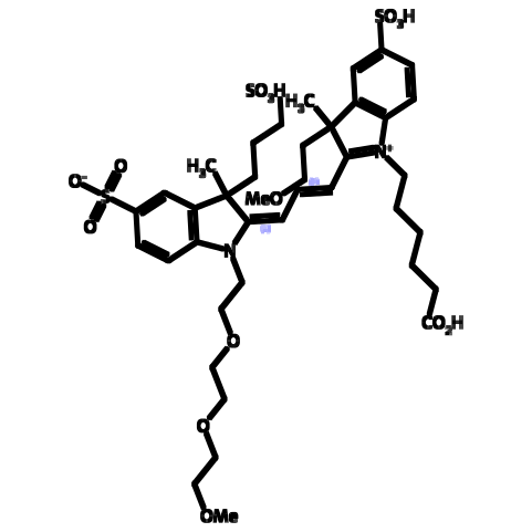 COCCOCCOCCN1/C(=C/C=C/C2=[N+](CCCCCC(=O)O)c3ccc(S(=O)(=O)O)cc3C2(C)CCOC)C(C)(CCCS(=O)(=O)O)c2cc(S(=O)(=O)[O-])ccc21